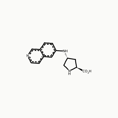 O=C(O)[C@@H]1C[C@@H](Nc2ccc3cnccc3c2)CN1